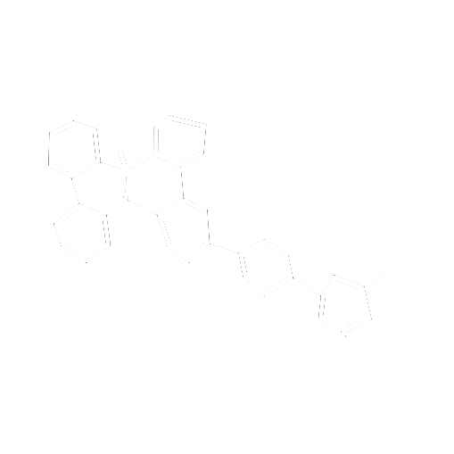 Cc1cncc(-c2ccc(-c3ccc4c(c3)-c3ccccc3P3(=O)c5ccccc5-c5ccccc5N43)cc2)c1